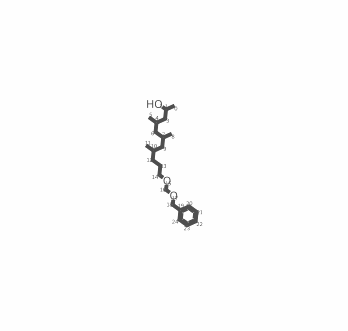 CC(O)CC(C)CC(C)CC(C)CCCOCOCc1ccccc1